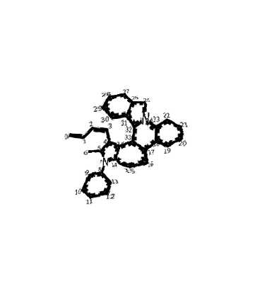 C=C/C=C\c1c(C)n(-c2ccccc2)c2ccc3c4ccccc4n4cc5ccccc5c4c3c12